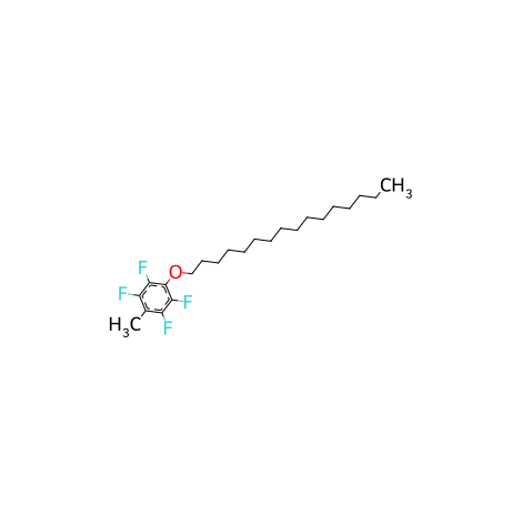 CCCCCCCCCCCCCCCCOc1c(F)c(F)c(C)c(F)c1F